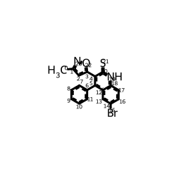 Cc1cc(-c2c(-c3ccccc3)c3cc(Br)ccc3[nH]c2=S)on1